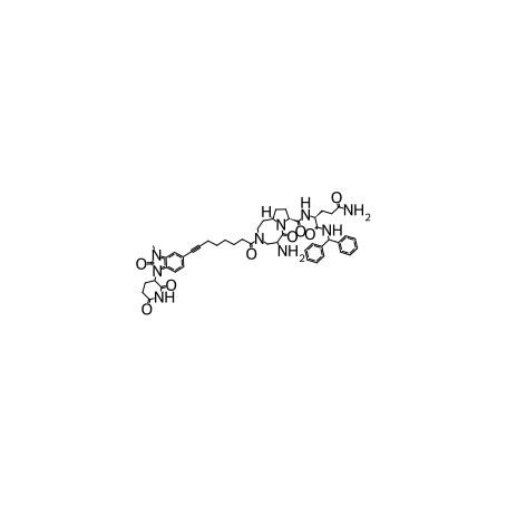 Cn1c(=O)n(C2CCC(=O)NC2=O)c2ccc(C#CCCCCCC(=O)N3CC[C@H]4CC[C@@H](C(=O)N[C@@H](CCC(N)=O)C(=O)NC(c5ccccc5)c5ccccc5)N4C(=O)[C@@H](N)C3)cc21